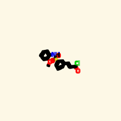 COc1ccccc1NS(=O)(=O)c1cccc(/C=C/C(=O)Cl)c1